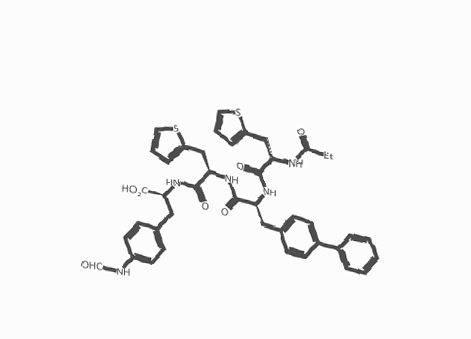 CCC(=O)N[C@H](Cc1cccs1)C(=O)N[C@@H](Cc1ccc(-c2ccccc2)cc1)C(=O)N[C@H](Cc1cccs1)C(=O)N[C@@H](Cc1ccc(NC=O)cc1)C(=O)O